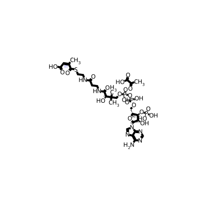 C/C(=C/C(=O)O)C(=O)SCCNC(=O)CCNC(=O)[C@H](O)C(C)(C)COP(=O)(O)OP(=O)(O)OC[C@H]1O[C@@H](n2cnc3c(N)ncnc32)[C@H](O)[C@@H]1OP(=O)(O)O.CC(=O)C(=O)O